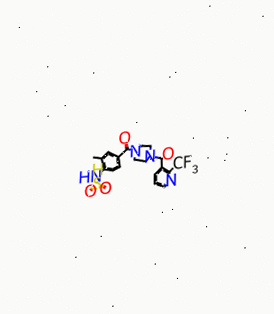 Cc1cc(C(=O)N2CCN(C(=O)c3cccnc3C(F)(F)F)CC2)ccc1N[SH](=O)=O